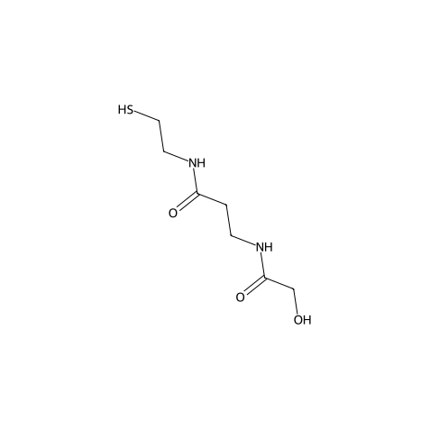 O=C(CO)NCCC(=O)NCCS